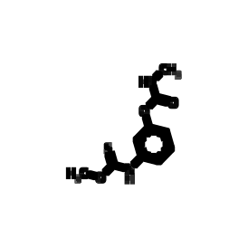 CNC(=O)Oc1cccc(NC(=S)OC)c1